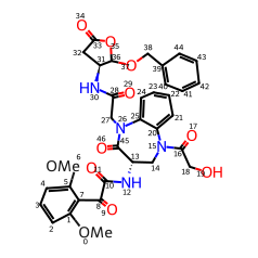 COc1cccc(OC)c1C(=O)C(=O)N[C@H]1CN(C(=O)CO)c2ccccc2N(CC(=O)N[C@H]2CC(=O)OC2OCc2ccccc2)C1=O